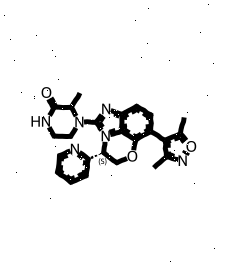 Cc1noc(C)c1-c1ccc2nc(N3CCNC(=O)C3C)n3c2c1OC[C@@H]3c1ccccn1